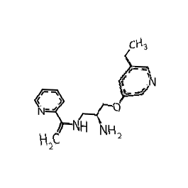 C=C(NC[C@H](N)COc1cncc(CC)c1)c1ccccn1